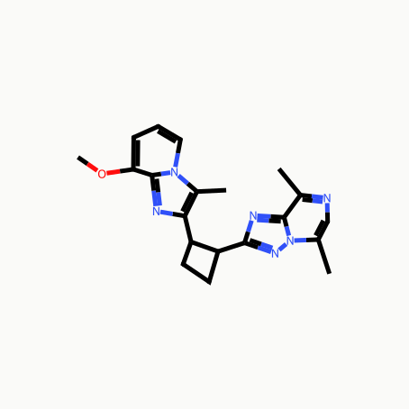 COc1cccn2c(C)c(C3CCC3c3nc4c(C)ncc(C)n4n3)nc12